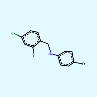 CCc1ccc(NCc2ccc(Cl)cc2F)cc1